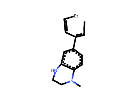 C/C=C(\C=C/CC)c1ccc2c(c1)NCCN2C